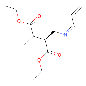 C=C/C=N\C[C@@H](C(=O)OCC)C(C)C(=O)OCC